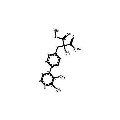 COC(=O)C(N)(Cc1ccc(-c2ccnc(C)c2C)cc1)C(=O)OC(C)(C)C